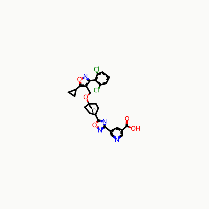 O=C(O)c1cncc(-c2noc(C34CCC(OCc5c(-c6c(Cl)cccc6Cl)noc5C5CC5)(CC3)CC4)n2)c1